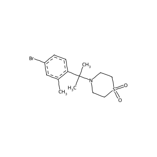 Cc1cc(Br)ccc1C(C)(C)N1CCS(=O)(=O)CC1